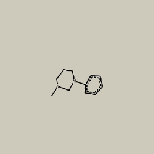 CN1CCCN(c2ccccc2)C1